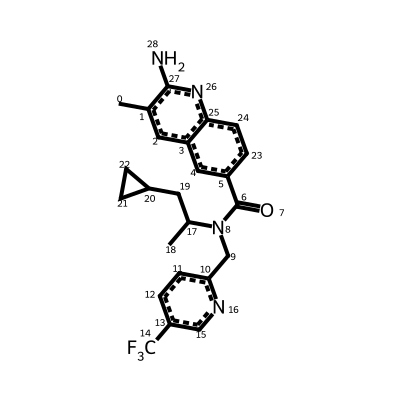 Cc1cc2cc(C(=O)N(Cc3ccc(C(F)(F)F)cn3)C(C)CC3CC3)ccc2nc1N